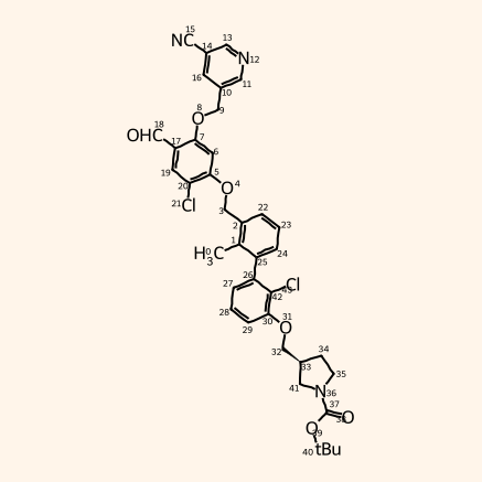 Cc1c(COc2cc(OCc3cncc(C#N)c3)c(C=O)cc2Cl)cccc1-c1cccc(OC[C@H]2CCN(C(=O)OC(C)(C)C)C2)c1Cl